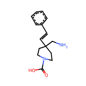 NCC1(C=Cc2ccccc2)CCN(C(=O)O)CC1